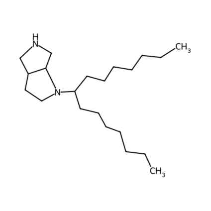 CCCCCCCC(CCCCCCC)N1CCC2CNCC21